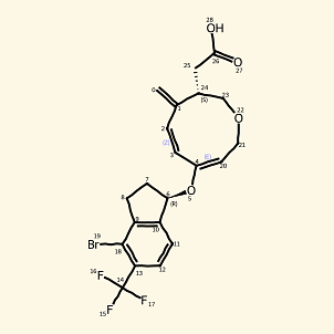 C=C1/C=C\C(O[C@@H]2CCc3c2ccc(C(F)(F)F)c3Br)=C/COC[C@H]1CC(=O)O